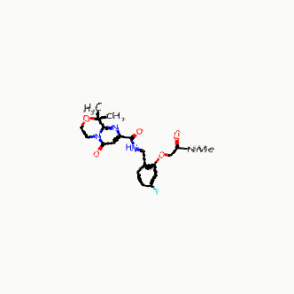 CNC(=O)COc1cc(F)ccc1CNC(=O)c1cc(=O)n2c(n1)C(C)(C)OCC2